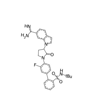 CC(C)(C)NS(=O)(=O)c1ccccc1-c1ccc(N2CCC(n3ccc4ccc(C(=N)N)cc43)C2=O)c(F)c1